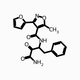 Cc1onc(-c2ccco2)c1C(=O)NC(Cc1ccccc1)C(=O)C(N)=O